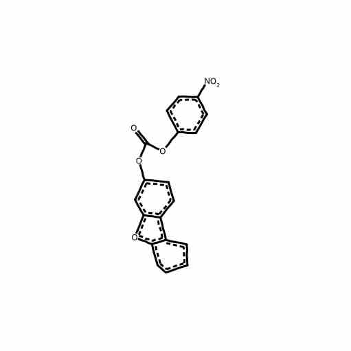 O=C(Oc1ccc([N+](=O)[O-])cc1)Oc1ccc2c(c1)oc1ccccc12